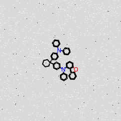 c1ccc(N(c2ccccc2)c2ccc(C3(c4ccc(N(c5ccccc5)c5cccc6oc7ccccc7c56)cc4)CCCCC3)cc2)cc1